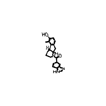 Cc1c(O)ccc2c1[C@H]1CCCN(C(=O)c3ccc4[nH]cnc4c3)[C@H]1C2